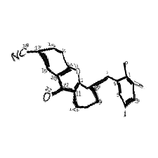 Cc1ccccc1/C=C1\CCc2c1oc1ccc(C#N)cc1c2=O